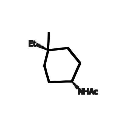 CC[C@]1(C)CC[C@H](NC(C)=O)CC1